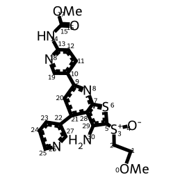 COCC[S+]([O-])c1sc2nc(-c3ccc(NC(=O)OC)nc3)cc(-c3cccnc3)c2c1N